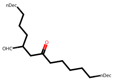 CCCCCCCCCCCCCCCC(=O)CC(C=O)CCCCCCCCCCCCC